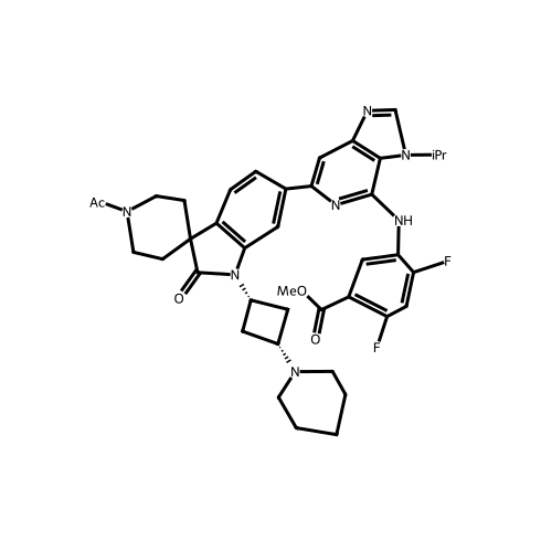 COC(=O)c1cc(Nc2nc(-c3ccc4c(c3)N([C@H]3C[C@@H](N5CCCCC5)C3)C(=O)C43CCN(C(C)=O)CC3)cc3ncn(C(C)C)c23)c(F)cc1F